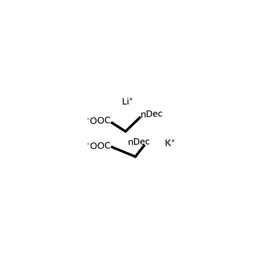 CCCCCCCCCCCC(=O)[O-].CCCCCCCCCCCC(=O)[O-].[K+].[Li+]